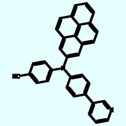 N#Cc1ccc(N(c2ccc(-c3cccnc3)cc2)c2cc3ccc4cccc5ccc(c2)c3c45)cc1